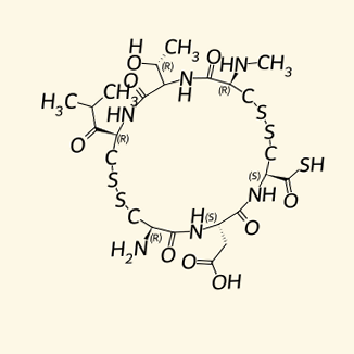 CN[C@H]1CSSC[C@@H](C(=O)S)NC(=O)[C@H](CC(=O)O)NC(=O)[C@@H](N)CSSC[C@@H](C(=O)C(C)C)NC(=O)C([C@@H](C)O)NC1=O